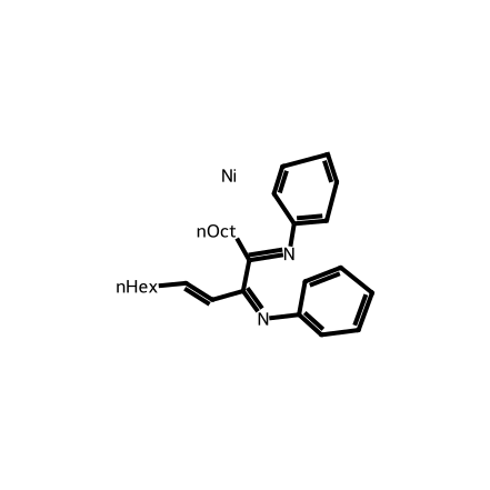 CCCCCCC=CC(=Nc1ccccc1)C(CCCCCCCC)=Nc1ccccc1.[Ni]